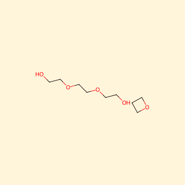 C1COC1.OCCOCCOCCO